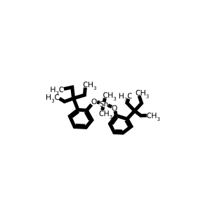 CCC(CC)(CC)c1ccccc1[O][Sn]([CH3])([CH3])[O]c1ccccc1C(CC)(CC)CC